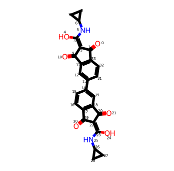 O=C1/C(=C(/O)NC2CC2)C(=O)c2cc(-c3ccc4c(c3)C(=O)/C(=C(\O)NC3CC3)C4=O)ccc21